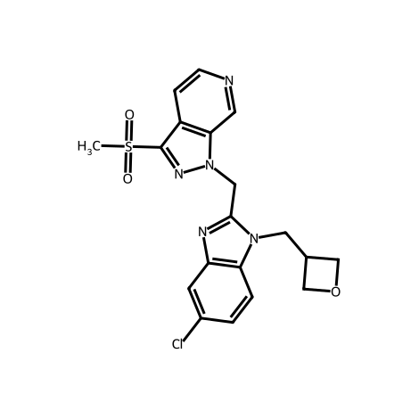 CS(=O)(=O)c1nn(Cc2nc3cc(Cl)ccc3n2CC2COC2)c2cnccc12